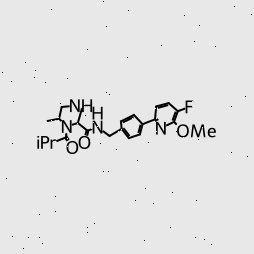 COc1nc(-c2ccc(CNC(=O)C3CNCC(C)N3C(=O)C(C)C)cc2)ccc1F